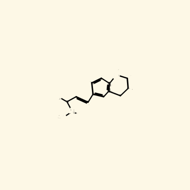 CC(=O)N(O)C(C)C=Cc1ccc2c(c1)CCCO2